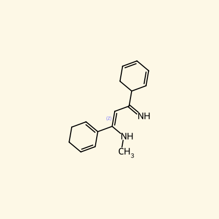 CN/C(=C\C(=N)C1C=CC=CC1)C1=CCCC=C1